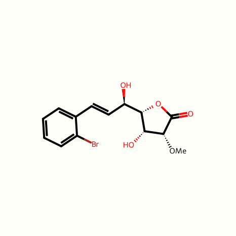 CO[C@H]1C(=O)O[C@@H]([C@H](O)C=Cc2ccccc2Br)[C@H]1O